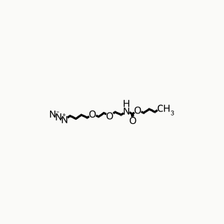 CCCCOC(=O)NCCOCCOCCCCN=[N+]=[N-]